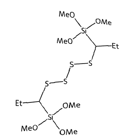 CCC(SSSSC(CC)[Si](OC)(OC)OC)[Si](OC)(OC)OC